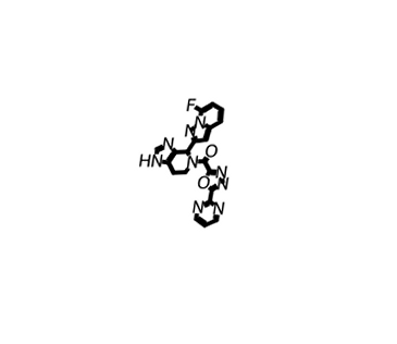 O=C(c1nnc(-c2ncccn2)o1)N1CCc2[nH]cnc2C1c1cc2cccc(F)n2n1